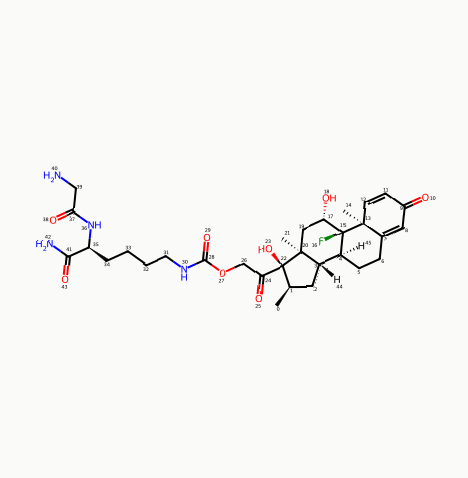 C[C@@H]1C[C@H]2[C@@H]3CCC4=CC(=O)C=C[C@]4(C)[C@@]3(F)[C@@H](O)C[C@]2(C)[C@@]1(O)C(=O)COC(=O)NCCCC[C@H](NC(=O)CN)C(N)=O